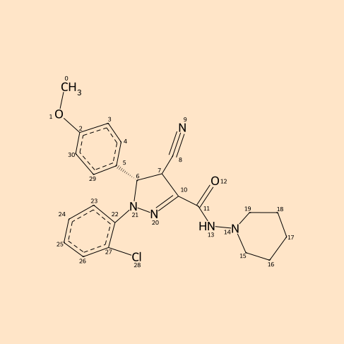 COc1ccc([C@@H]2C(C#N)C(C(=O)NN3CCCCC3)=NN2c2ccccc2Cl)cc1